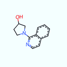 OC1CCN(c2nccc3ccccc23)C1